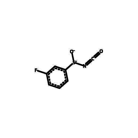 O=C=N[S+]([O-])c1cccc(F)c1